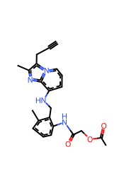 C#CCc1c(C)nc2c(NCc3c(C)cccc3NC(=O)COC(C)=O)cccn12